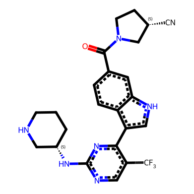 N#C[C@H]1CCN(C(=O)c2ccc3c(-c4nc(N[C@H]5CCCNC5)ncc4C(F)(F)F)c[nH]c3c2)C1